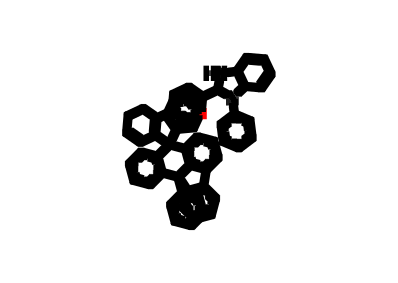 C1=CC2NC(c3ccc(C4=C(C5(c6ccccc6)c6ccccc6C6(c7ccccc7)c7ccccc7-c7cccc5c76)C=CCC4)cc3)N(c3ccccc3)C2C=C1